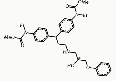 CCN(C(=O)OC)c1ccc(C(CCNC[C@H](O)COc2ccccc2)c2ccc(N(CC)C(=O)OC)cc2)cc1